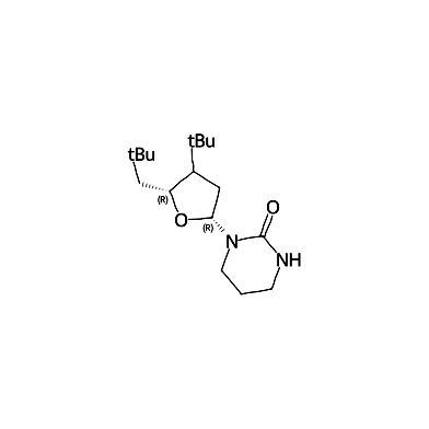 CC(C)(C)C[C@H]1O[C@@H](N2CCCNC2=O)CC1C(C)(C)C